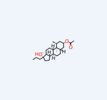 CCC[C@]1(O)CC[C@H]2[C@@H]3CC[C@H]4C[C@H](OC(C)=O)C[C@H](C)[C@]4(C)[C@H]3CC[C@@]21C